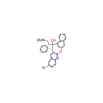 CNCC[C@]1(O)c2cc(cc3ccccc23)Oc2nc3ccc(Br)cc3cc2[C@@H]1c1ccccc1